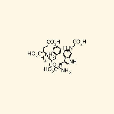 NC(CCC(=O)O)C(=O)O.NC(Cc1c[nH]c2ccccc12)C(=O)O.NC(Cc1ccccc1)C(=O)O.NCC(=O)O